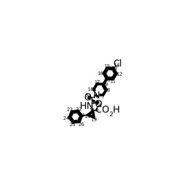 O=C(O)[C@@]1(NS(=O)(=O)N2CC=C(c3ccc(Cl)cc3)CC2)C[C@H]1c1ccccc1